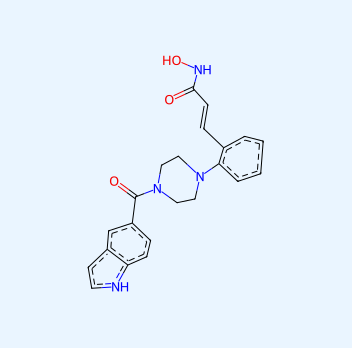 O=C(C=Cc1ccccc1N1CCN(C(=O)c2ccc3[nH]ccc3c2)CC1)NO